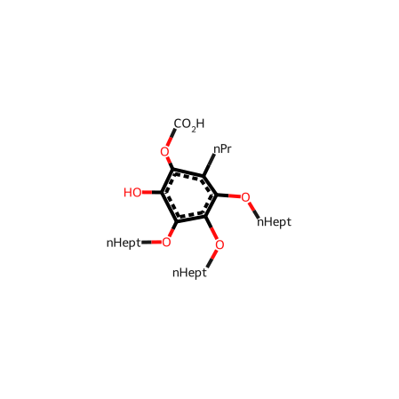 CCCCCCCOc1c(O)c(OC(=O)O)c(CCC)c(OCCCCCCC)c1OCCCCCCC